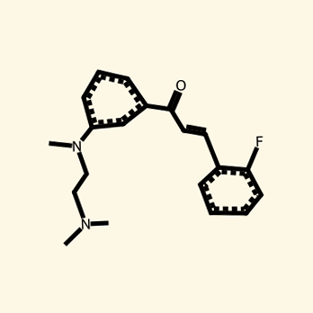 CN(C)CCN(C)c1cccc(C(=O)C=Cc2ccccc2F)c1